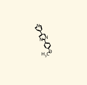 COc1ccc(-c2ncc(-c3ccncc3)cn2)cc1